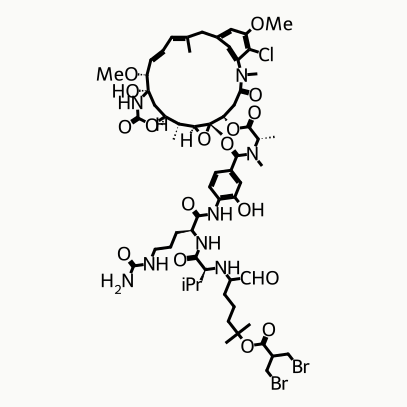 COc1cc2cc(c1Cl)N(C)C(=O)C[C@H](OC(=O)[C@H](C)N(C)C(=O)c1ccc(NC(=O)[C@H](CCCNC(N)=O)NC(=O)[C@@H](NC(C=O)CCCC(C)(C)OC(=O)C(CBr)CBr)C(C)C)c(O)c1)[C@]1(C)O[C@H]1[C@H](C)[C@@H]1C[C@@](O)(NC(=O)O1)[C@H](OC)/C=C/C=C(\C)C2